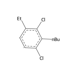 CCCCc1c(Cl)[c]cc(CC)c1Cl